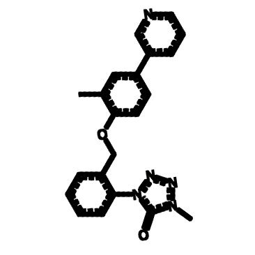 Cc1cc(-c2cccnc2)ccc1OCc1ccccc1-n1nnn(C)c1=O